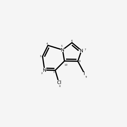 Clc1nccn2cnc(I)c12